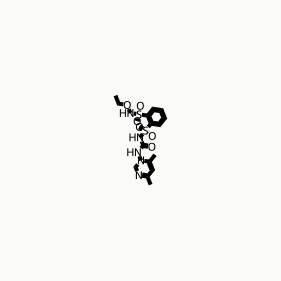 CCONS(=O)(=O)c1ccccc1S(=O)(=O)NC(=O)NN1CN=C(C)C=C1C